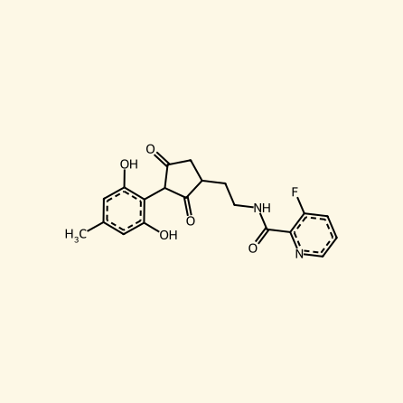 Cc1cc(O)c(C2C(=O)CC(CCNC(=O)c3ncccc3F)C2=O)c(O)c1